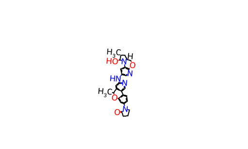 CC1Oc2cc(N3CCCC3=O)ccc2-c2cnc(Nc3cnc4c(c3)N3C(O)C(C)C[C@H]3CO4)cc21